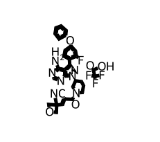 CC1(/C=C(\C#N)C(=O)N2CCC[C@@H](n3nc(-c4ccc(Oc5ccccc5)cc4F)c4c(N)ncnc43)C2)COC1.O=C(O)C(F)(F)F